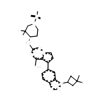 COc1nc(N[C@@H]2CCN(S(C)(=O)=O)CC2(F)F)nn2ccc(-c3ccc4nnn(C5CC(F)(F)C5)c4c3)c12